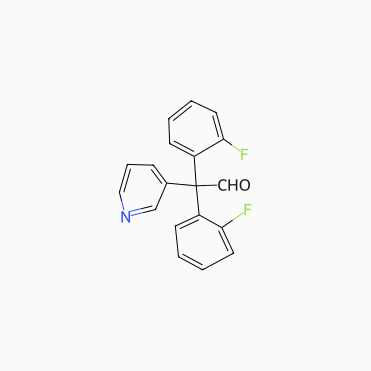 O=CC(c1cccnc1)(c1ccccc1F)c1ccccc1F